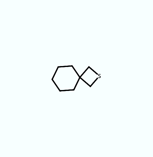 C1CCC2(CC1)CSC2